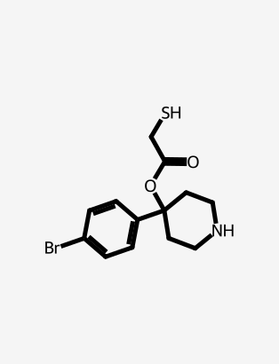 O=C(CS)OC1(c2ccc(Br)cc2)CCNCC1